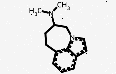 CN(C)C1CCc2cccc3ccn(c23)C1